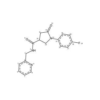 O=C(NCc1ccccn1)C1CC(=O)N(c2ccc(F)cc2)C1